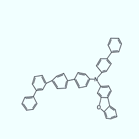 c1ccc(-c2ccc(N(c3ccc(-c4ccc(-c5cccc(-c6ccccc6)c5)cc4)cc3)c3ccc4c(c3)oc3ccccc34)cc2)cc1